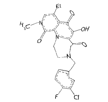 CCc1cn(C)c(=O)c2c1c(=O)c(O)c1n2CCN(Cc2ccc(F)c(Cl)c2)C1=O